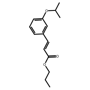 CCCOC(=O)/C=C/c1cccc(OC(C)C)c1